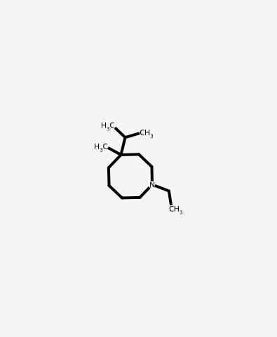 CCN1CCCCC(C)(C(C)C)CC1